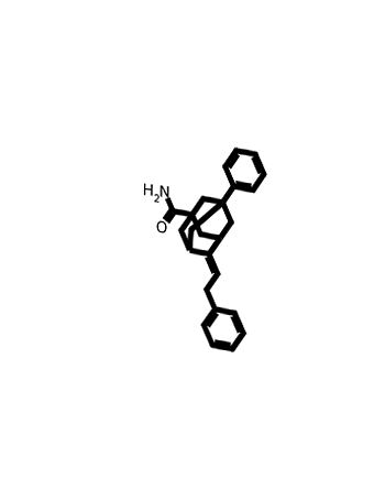 NC(=O)C12CC3CC(c4ccccc4)(CC(C1)C3=CCc1ccccc1)C2